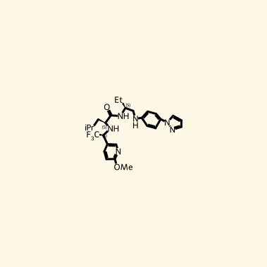 CC[C@@H](CNc1ccc(-n2cccn2)cc1)NC(=O)[C@H](CC(C)C)N[C@@H](c1ccc(OC)nc1)C(F)(F)F